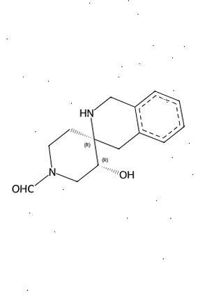 O=CN1CC[C@]2(Cc3ccccc3CN2)[C@H](O)C1